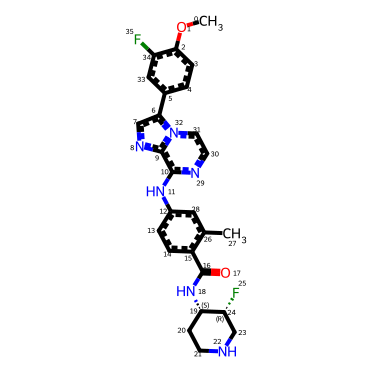 COc1ccc(-c2cnc3c(Nc4ccc(C(=O)N[C@H]5CCNC[C@H]5F)c(C)c4)nccn23)cc1F